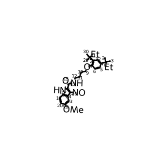 CCC(C)(C)c1ccc(OCCCCNC(=O)c2[nH]c3ccc(OC)cc3c2N=O)c(C(C)(C)CC)c1